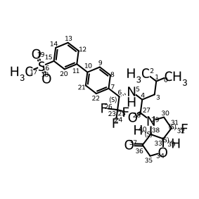 CC(C)CC(N[C@@H](c1ccc(-c2cccc(S(C)(=O)=O)c2)cc1)C(F)(F)F)C(=O)N1C[C@H](F)[C@H]2OCC(=O)[C@H]21